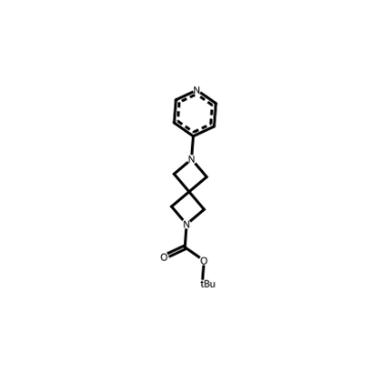 CC(C)(C)OC(=O)N1CC2(C1)CN(c1ccncc1)C2